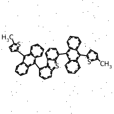 Cc1ccc(-c2c3ccccc3c(-c3cccc4c3sc3cccc(-c5c6ccccc6c(-c6ccc(C)s6)c6ccccc56)c34)c3ccccc23)s1